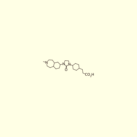 CN1CCC2CCC(N3CCN(C4CCC(CCC(=O)O)CC4)C3=O)CC2CC1